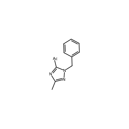 CC(=O)c1nc(C)nn1Cc1ccccc1